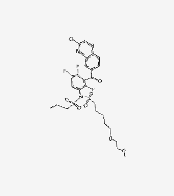 CCCS(=O)(=O)N(c1cc(F)c(F)c(C(=O)c2ccc3ncc(Cl)nc3c2)c1F)S(=O)(=O)CCCCCOCCOC